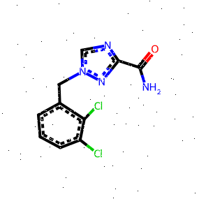 NC(=O)c1ncn(Cc2cccc(Cl)c2Cl)n1